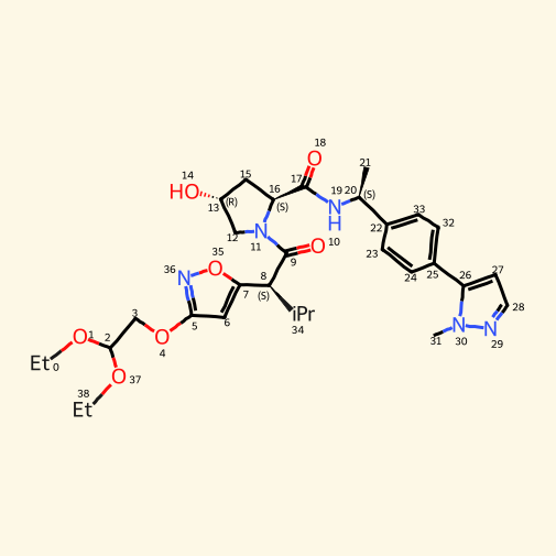 CCOC(COc1cc([C@@H](C(=O)N2C[C@H](O)C[C@H]2C(=O)N[C@@H](C)c2ccc(-c3ccnn3C)cc2)C(C)C)on1)OCC